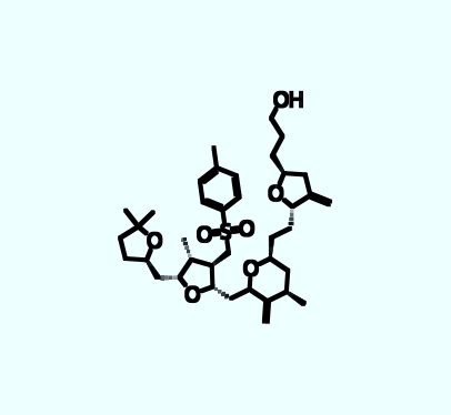 C=C1C(C[C@@H]2O[C@H](C[C@H]3CCC(C)(C)O3)[C@H](C)[C@H]2CS(=O)(=O)c2ccc(C)cc2)O[C@@H](CC[C@@H]2O[C@@H](CCCO)CC2=C)C[C@H]1C